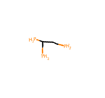 PCC(P)P